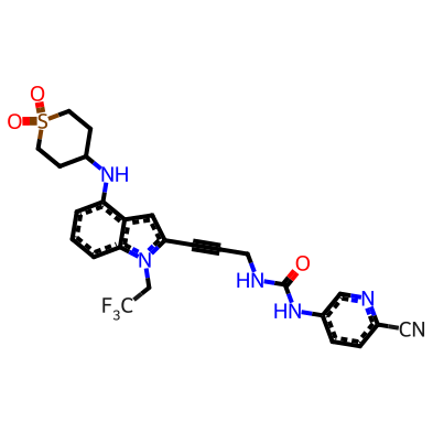 N#Cc1ccc(NC(=O)NCC#Cc2cc3c(NC4CCS(=O)(=O)CC4)cccc3n2CC(F)(F)F)cn1